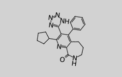 O=C1NCCCc2c1nc(C1CCCC1)c(-c1nnn[nH]1)c2-c1ccccc1